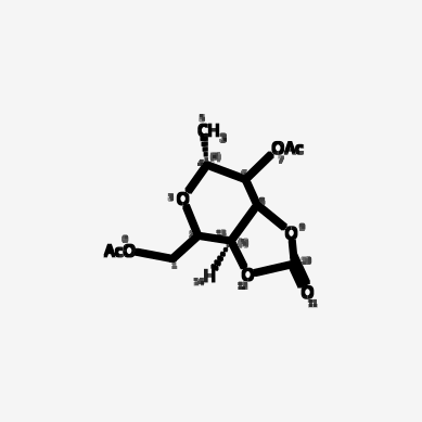 CC(=O)OCC1O[C@H](C)C(OC(C)=O)C2OC(=O)O[C@@H]12